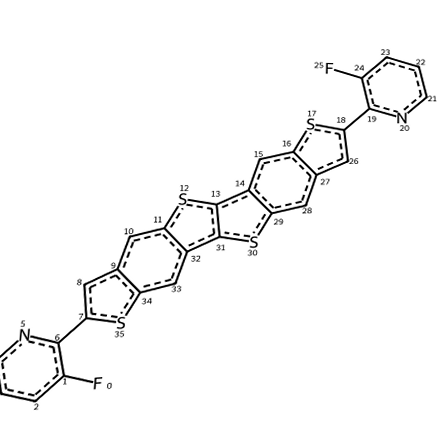 Fc1cccnc1-c1cc2cc3sc4c5cc6sc(-c7ncccc7F)cc6cc5sc4c3cc2s1